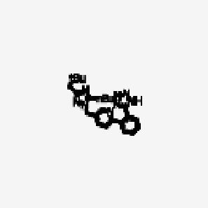 CCCCc1nc(CC(C)(C)C)nn1Cc1ccc(-c2ccccc2-c2nnn[nH]2)nc1